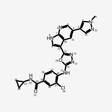 Cn1cc(-c2cnc3[nH]cc(-c4nnc(Nc5ccc(C(=O)NC6CC6)cc5Cl)o4)c3c2)cn1